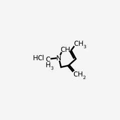 C=C(C=CC)CN(C)C.Cl